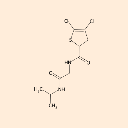 CC(C)NC(=O)CNC(=O)C1CC(Cl)=C(Cl)S1